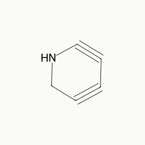 C1#CCNC#C1